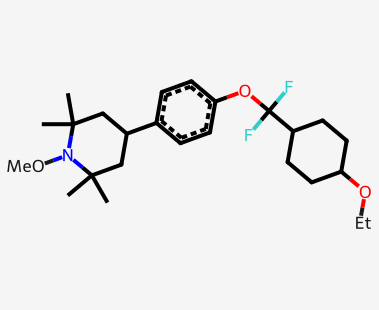 CCOC1CCC(C(F)(F)Oc2ccc(C3CC(C)(C)N(OC)C(C)(C)C3)cc2)CC1